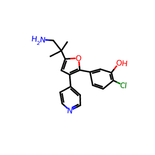 CC(C)(CN)c1cc(-c2ccncc2)c(-c2ccc(Cl)c(O)c2)o1